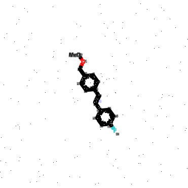 COOCc1ccc(/C=C/c2ccc(F)cc2)cc1